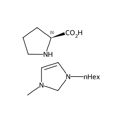 CCCCCCN1C=CN(C)C1.O=C(O)[C@@H]1CCCN1